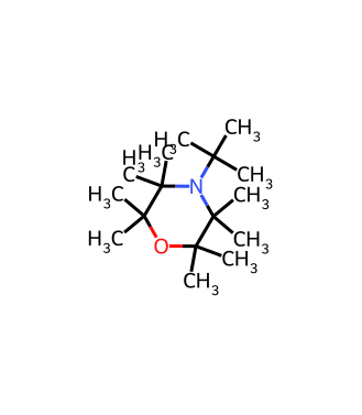 CC(C)(C)N1C(C)(C)C(C)(C)OC(C)(C)C1(C)C